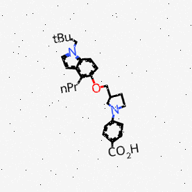 CCCc1c(OCC2CCN(c3ccc(C(=O)O)cc3)C2)ccc2c1ccn2CC(C)(C)C